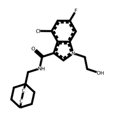 O=C(NCC12CCC(CC1)CC2)c1cn(CCO)c2cc(F)cc(Cl)c12